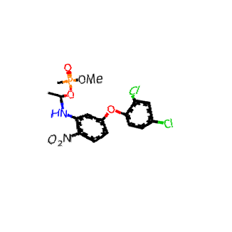 COP(C)(=O)OC(C)Nc1cc(Oc2ccc(Cl)cc2Cl)ccc1[N+](=O)[O-]